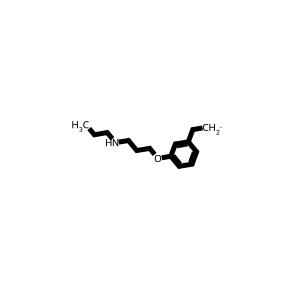 [CH2]Cc1cccc(OCCCNCCC)c1